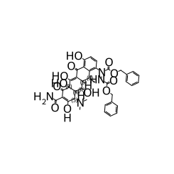 C[C@@H]1c2c(N(NC(=O)OCc3ccccc3)C(=O)OCc3ccccc3)ccc(O)c2C(=O)C2=C(O)[C@@]3(O)C(=O)C(C(N)=O)=C(O)[C@@H](N(C)C)[C@@H]3[C@H](O)[C@H]21